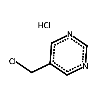 Cl.ClCc1cncnc1